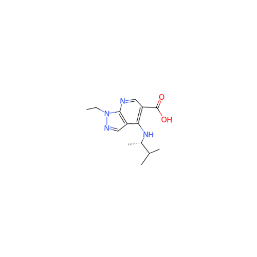 CCn1ncc2c(N[C@@H](C)C(C)C)c(C(=O)O)cnc21